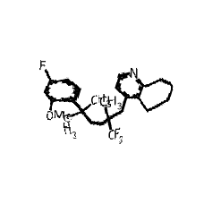 COc1cc(F)ccc1C(C)(C)CC(C)(Cc1ccnc2c1CCCC2)C(F)(F)F